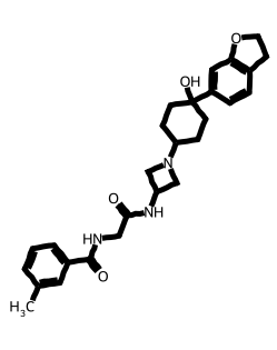 Cc1cccc(C(=O)NCC(=O)NC2CN(C3CCC(O)(c4ccc5c(c4)OCC5)CC3)C2)c1